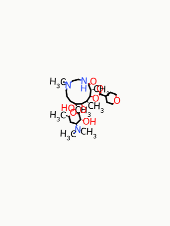 C[C@H]1[C@H](OC(=O)C2CCOCC2)[C@@H](C)C(=O)NCCN(C)CCC[C@@](C)(O)[C@@H]1O[C@@H]1O[C@H](C)C[C@H](N(C)C)[C@H]1O